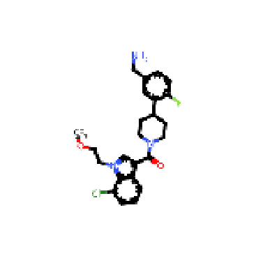 NCc1ccc(F)c(C2CCN(C(=O)c3cn(CCOC(F)(F)F)c4c(Cl)cccc34)CC2)c1